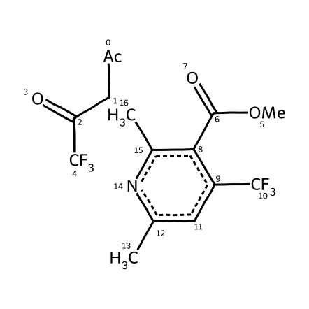 CC(=O)CC(=O)C(F)(F)F.COC(=O)c1c(C(F)(F)F)cc(C)nc1C